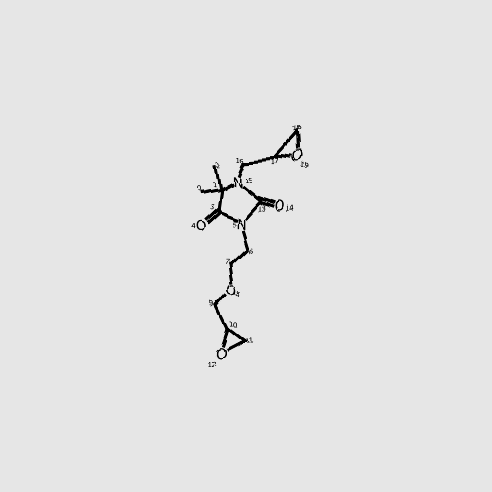 CC1(C)C(=O)N(CCOCC2CO2)C(=O)N1CC1CO1